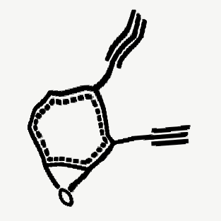 C#Cc1ccc2c(c1C#C)O2